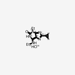 CCNc1[nH]c(=O)n(CC)c2nc(C3CC3)nc1-2.Cl